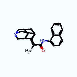 BC(C(=O)Nc1cccc2ccccc12)=C1C2CC3CC1CN(C3)C2